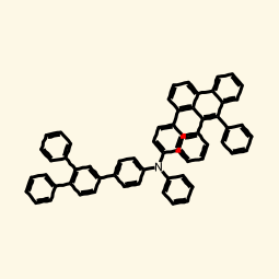 c1ccc(-c2ccc(-c3ccc(N(c4ccccc4)c4ccc(-c5cccc6c5c(-c5ccccc5)c(-c5ccccc5)c5ccccc56)cc4)cc3)cc2-c2ccccc2)cc1